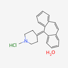 CN1CCC(=C2c3ccccc3C=Cc3ccccc32)CC1.Cl.O